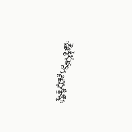 O=C(/C=C/C(=O)Oc1nc2ccc(C(=O)N[C@@H]3C[C@@H]4CCN(C4)C3)cc2s1)Oc1nc2ccc(C(=O)N[C@@H]3C[C@@H]4CCN(C4)C3)cc2s1